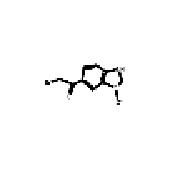 O=C(CBr)c1ccc2c(c1)[S+]([O-])CN2